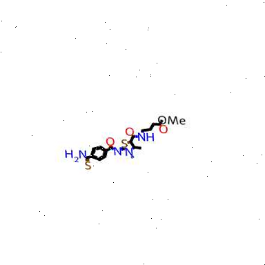 COC(=O)CCCNC(=O)C1SC(=NC(=O)c2ccc(C(N)=S)cc2)N(C)C1C